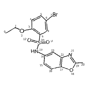 CCOc1ccc(Br)cc1S(=O)(=O)Nc1ccc2oc(C)nc2c1